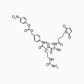 CC(C)[C@H](NC(=O)CCCN1C(=O)C=CC1=O)C(=O)N[C@@H](CCCNC(N)=O)C(=O)Nc1ccc(COC(=O)Oc2ccc([N+](=O)[O-])cc2)cc1